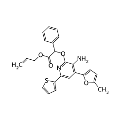 C=CCOC(=O)C(Oc1nc(-c2cccs2)cc(-c2ccc(C)o2)c1N)c1ccccc1